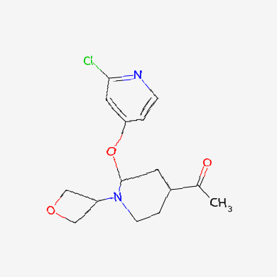 CC(=O)C1CCN(C2COC2)C(Oc2ccnc(Cl)c2)C1